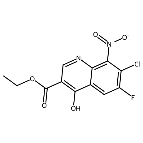 CCOC(=O)c1cnc2c([N+](=O)[O-])c(Cl)c(F)cc2c1O